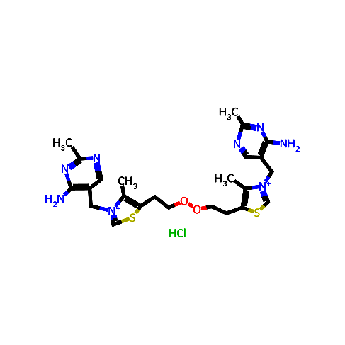 Cc1ncc(C[n+]2csc(CCOOCCc3sc[n+](Cc4cnc(C)nc4N)c3C)c2C)c(N)n1.Cl